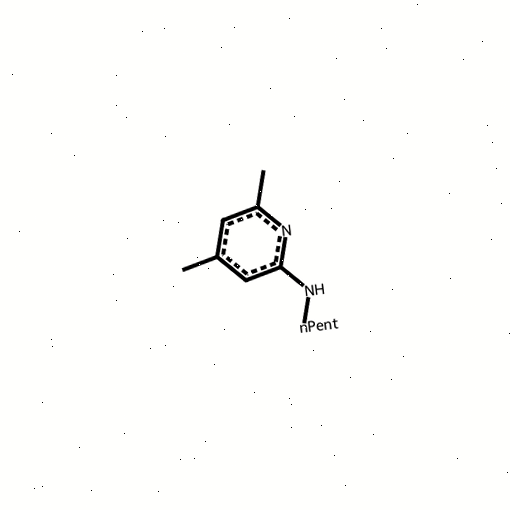 CCCCCNc1cc(C)cc(C)n1